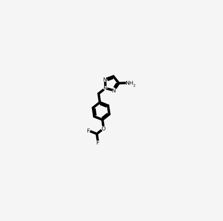 Nc1cnn(Cc2ccc(OC(F)F)cc2)n1